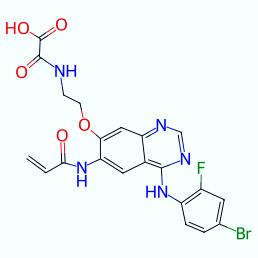 C=CC(=O)Nc1cc2c(Nc3ccc(Br)cc3F)ncnc2cc1OCCNC(=O)C(=O)O